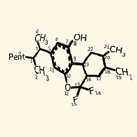 CCCCCC(C)C(C)c1cc(O)c2c(c1)OC(F)(F)C1CC(C)C(C)CC21